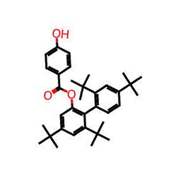 CC(C)(C)c1ccc(-c2c(OC(=O)c3ccc(O)cc3)cc(C(C)(C)C)cc2C(C)(C)C)c(C(C)(C)C)c1